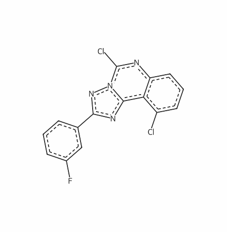 Fc1cccc(-c2nc3c4c(Cl)cccc4nc(Cl)n3n2)c1